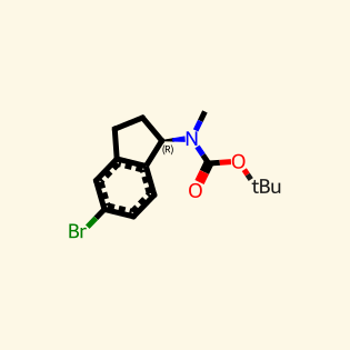 CN(C(=O)OC(C)(C)C)[C@@H]1CCc2cc(Br)ccc21